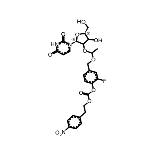 CC(OCc1ccc(OC(=O)OCCc2ccc([N+](=O)[O-])cc2)c(F)c1)OC1C(O)[C@H](CO)O[C@@H]1n1ccc(=O)[nH]c1=O